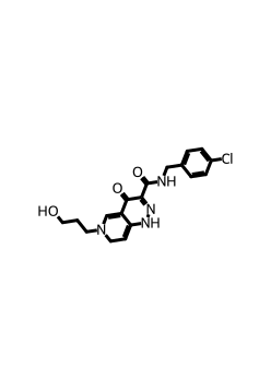 O=C(NCc1ccc(Cl)cc1)c1n[nH]c2c(c1=O)=CN(CCCO)CC=2